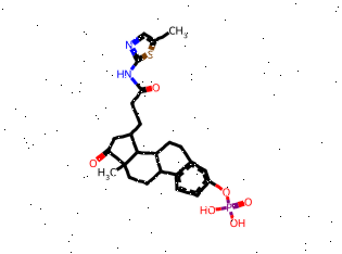 Cc1cnc(NC(=O)CCC2CC(=O)C3(C)CCC4c5ccc(OP(=O)(O)O)cc5CCC4C23)s1